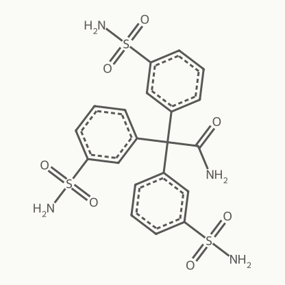 NC(=O)C(c1cccc(S(N)(=O)=O)c1)(c1cccc(S(N)(=O)=O)c1)c1cccc(S(N)(=O)=O)c1